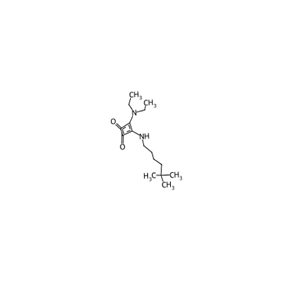 CCN(CC)c1c(NCCCCC(C)(C)C)c(=O)c1=O